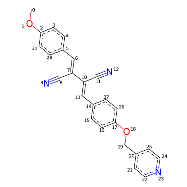 COc1ccc(/C=C(C#N)/C(C#N)=C/c2ccc(OCc3ccncc3)cc2)cc1